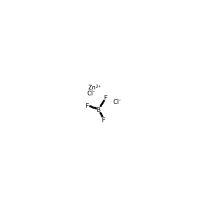 FB(F)F.[Cl-].[Cl-].[Zn+2]